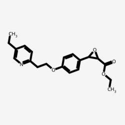 CCOC(=O)C1OC1c1ccc(OCCc2ccc(CC)cn2)cc1